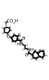 O=C(O)C[C@H]1CC[C@@H](Oc2ccc(C(=O)NCCNC(=O)c3ccc4ccccc4c3)c(F)c2)CC1